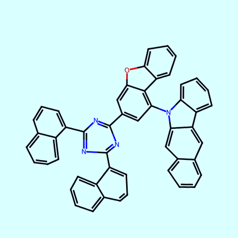 c1ccc2cc3c(cc2c1)c1ccccc1n3-c1cc(-c2nc(-c3cccc4ccccc34)nc(-c3cccc4ccccc34)n2)cc2oc3ccccc3c12